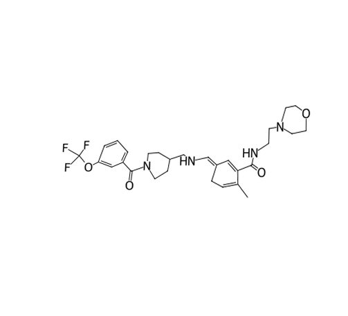 CC1=CC/C(=C\NCC2CCN(C(=O)c3cccc(OC(F)(F)F)c3)CC2)C=C1C(=O)NCCN1CCOCC1